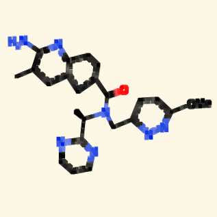 COc1ccc(CN(C(=O)c2ccc3nc(N)c(C)cc3c2)[C@H](C)c2ncccn2)nn1